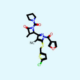 CC1C(=O)N(C(=O)N2CCCC2)C1c1nn(C(=O)c2ccoc2)c(SCc2ccc(Cl)s2)c1C#N